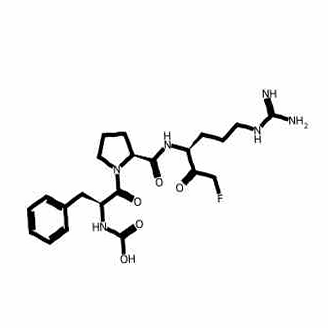 N=C(N)NCCC[C@H](NC(=O)[C@@H]1CCCN1C(=O)[C@H](Cc1ccccc1)NC(=O)O)C(=O)CF